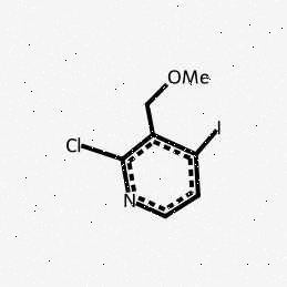 COCc1c(I)ccnc1Cl